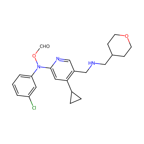 O=CON(c1cccc(Cl)c1)c1cc(C2CC2)c(CNCC2CCOCC2)cn1